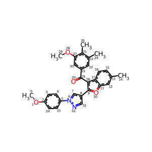 COc1ccc(-n2cc(-c3oc4cc(C)ccc4c3C(=O)c3cc(C)c(C)c(OC)c3)cn2)cc1